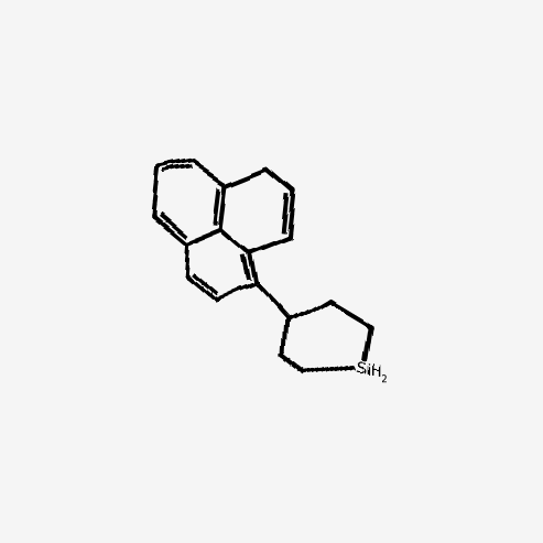 C1=Cc2c(C3CC[SiH2]CC3)ccc3cccc(c23)C1